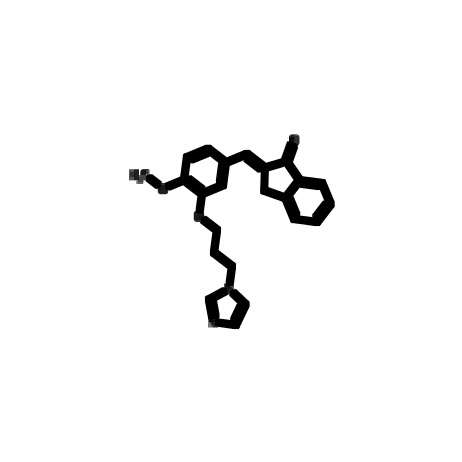 COc1ccc(/C=C2\Cc3ccccc3C2=O)cc1OCCCn1ccnc1